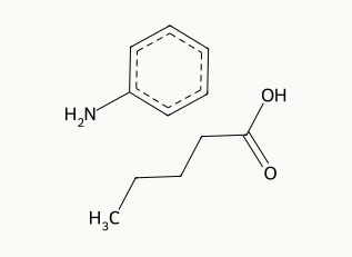 CCCCC(=O)O.Nc1ccccc1